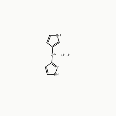 [CH]1=C[C]([Zr+2][C]2=[P][BiH][CH]=C2)=[P][BiH]1.[Cl-].[Cl-]